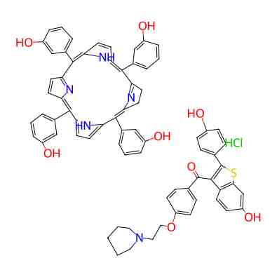 Cl.O=C(c1ccc(OCCN2CCCCC2)cc1)c1c(-c2ccc(O)cc2)sc2cc(O)ccc12.Oc1cccc(-c2c3nc(c(-c4cccc(O)c4)c4ccc([nH]4)c(-c4cccc(O)c4)c4nc(c(-c5cccc(O)c5)c5ccc2[nH]5)CC4)C=C3)c1